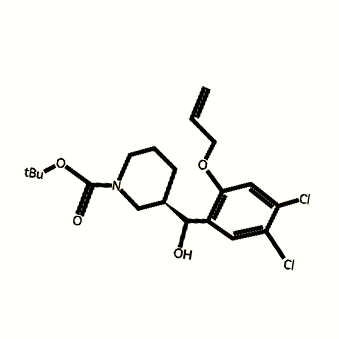 C=CCOc1cc(Cl)c(Cl)cc1C(O)[C@@H]1CCCN(C(=O)OC(C)(C)C)C1